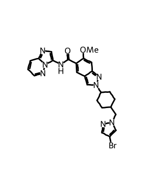 COc1cc2nn(C3CCC(Cn4cc(Br)cn4)CC3)cc2cc1C(=O)Nc1cnc2cccnn12